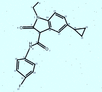 CCN1C(=O)C(C(=O)Nc2ccc(F)cc2)c2cc(C3CC3)ccc21